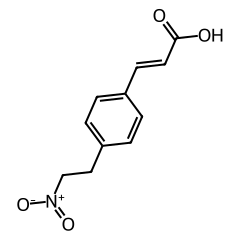 O=C(O)/C=C/c1ccc(CC[N+](=O)[O-])cc1